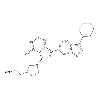 O=c1[nH]cnc2c(-c3ccc4c(c3)ncn4C3CCCCC3)sc(N3CCC(CCO)C3)c12